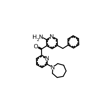 Nc1ncc(Cc2ccccc2)cc1C(=O)c1cccc(N2CCCCCC2)n1